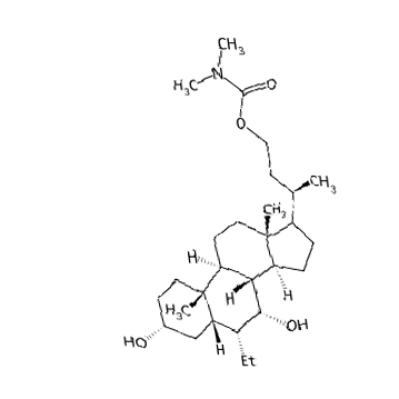 CC[C@H]1[C@@H](O)[C@@H]2[C@H](CC[C@]3(C)C([C@H](C)CCOC(=O)N(C)C)CC[C@@H]23)[C@@]2(C)CC[C@@H](O)C[C@@H]12